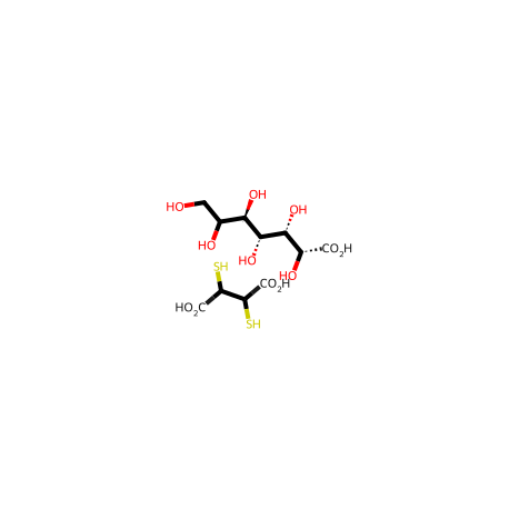 O=C(O)C(S)C(S)C(=O)O.O=C(O)[C@H](O)[C@@H](O)[C@H](O)[C@H](O)C(O)CO